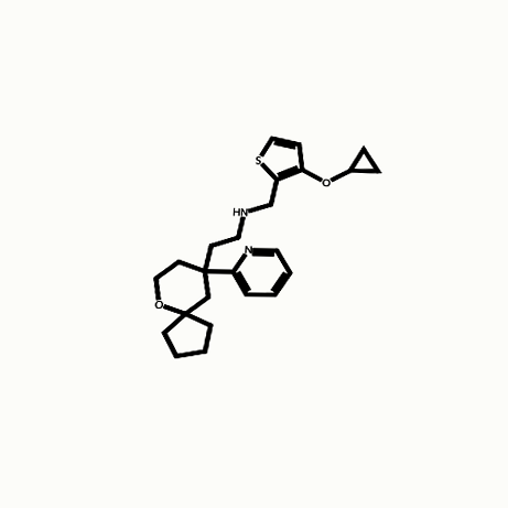 c1ccc(C2(CCNCc3sccc3OC3CC3)CCOC3(CCCC3)C2)nc1